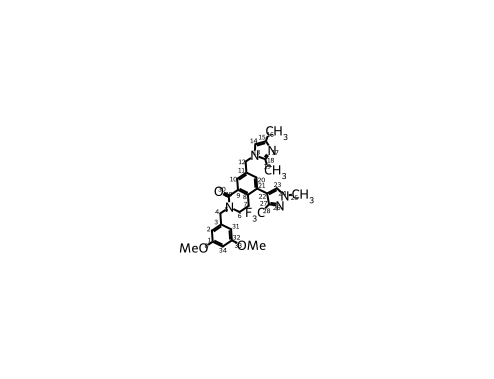 COc1cc(CN2CCc3c(cc(Cn4cc(C)nc4C)cc3-c3cn(C)nc3C(F)(F)F)C2=O)cc(OC)c1